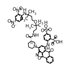 CC(C)(CCOC(C)(C)CCNC(=O)[C@H]1CCCN(c2cc(Nc3ccc(S(=O)(=O)O)cc3S(=O)(=O)O)c3c4c(onc24)-c2ccccc2C3=O)C1)Nc1ccc([N+](=O)[O-])cc1[N+](=O)[O-]